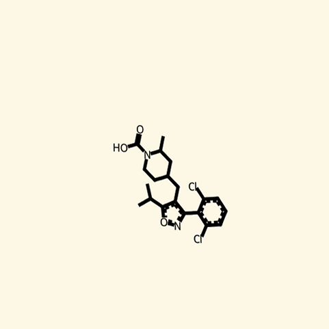 CC(C)c1onc(-c2c(Cl)cccc2Cl)c1CC1CCN(C(=O)O)C(C)C1